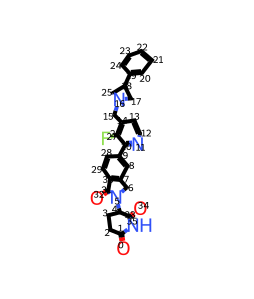 O=C1CCC(N2Cc3cc(-c4nccc(CN5CC(c6ccccc6)C5)c4F)ccc3C2=O)C(=O)N1